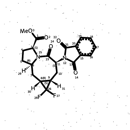 COC(=O)[C@@H]1CC[C@@H]2C[C@@H]3[C@H](C[C@H](N4C(=O)c5ccccc5C4=O)C(=O)N21)C3(F)F